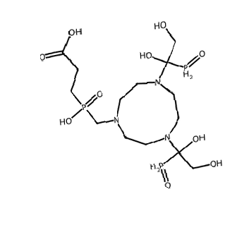 O=[PH2]C(O)(CO)N1CCN(CP(=O)(O)CCC(=O)O)CCN(C(O)(CO)[PH2]=O)CC1